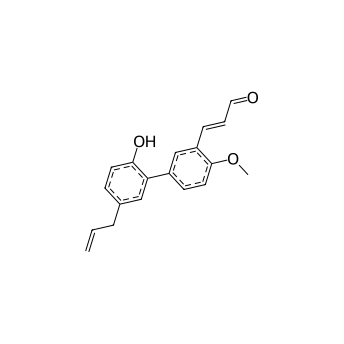 C=CCc1ccc(O)c(-c2ccc(OC)c(/C=C/C=O)c2)c1